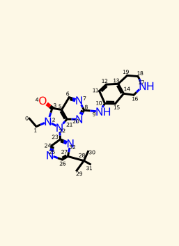 CCn1c(=O)c2cnc(Nc3ccc4c(c3)CNCC4)nc2n1-c1cncc(C(C)(C)C)n1